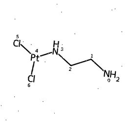 NCC[NH][Pt]([Cl])[Cl]